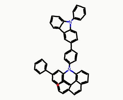 c1ccc(-c2cccc(N(c3ccc(-c4ccc5c(c4)c4ccccc4n5-c4ccccc4)cc3)c3cccc4ccc5ccccc5c34)c2)cc1